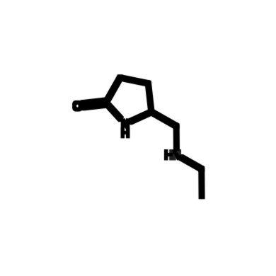 CCNCC1CCC(=O)N1